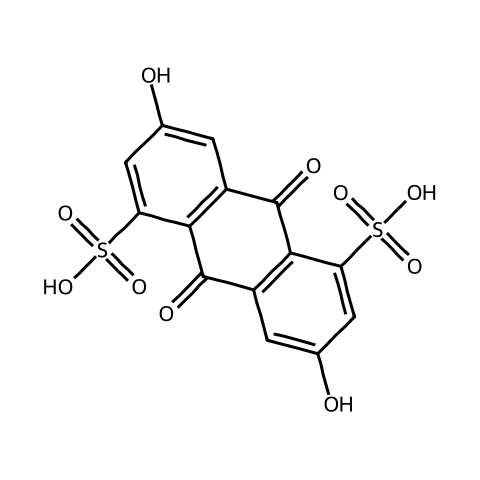 O=C1c2cc(O)cc(S(=O)(=O)O)c2C(=O)c2cc(O)cc(S(=O)(=O)O)c21